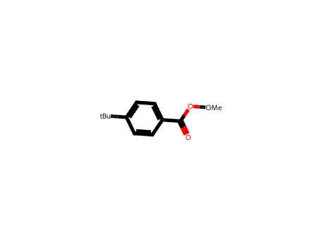 [CH2]OOC(=O)c1ccc(C(C)(C)C)cc1